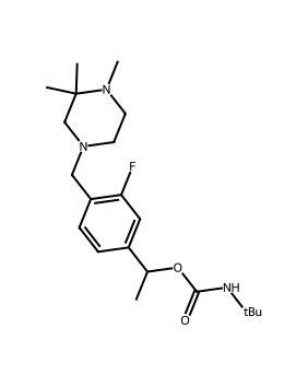 CC(OC(=O)NC(C)(C)C)c1ccc(CN2CCN(C)C(C)(C)C2)c(F)c1